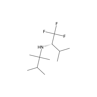 CC(C)[C@H](NC(C)(C)C(C)C)C(F)(F)F